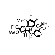 [2H]C1(C(=O)Nc2ccnc(S(N)(=O)=O)c2)CC(OC)(C(F)(F)F)CN1c1ccc(F)c(F)c1OC